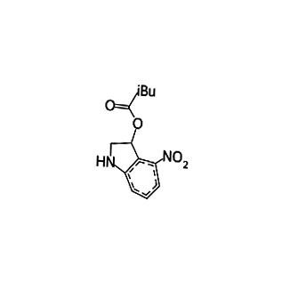 CCC(C)C(=O)OC1CNc2cccc([N+](=O)[O-])c21